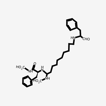 O=CC(Cc1ccccc1)NCCCCCCCCCC(NC(=O)O)N[C@@H](Cc1ccccc1)C(=O)NC(=O)O